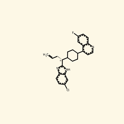 C=CC[C@@H](c1nc2ccc(Cl)cc2[nH]1)C1CCC(c2ccnc3ccc(F)cc23)CC1